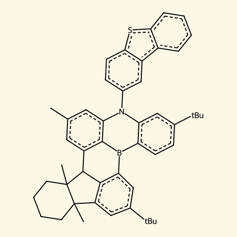 Cc1cc2c3c(c1)N(c1ccc4sc5ccccc5c4c1)c1cc(C(C)(C)C)ccc1B3c1cc(C(C)(C)C)cc3c1C2C1(C)CCCCC31C